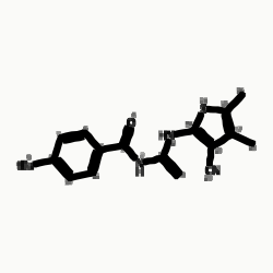 C=C(NC(=O)c1ccc(C(C)(C)C)cc1)Nc1sc(C)c(C)c1C#N